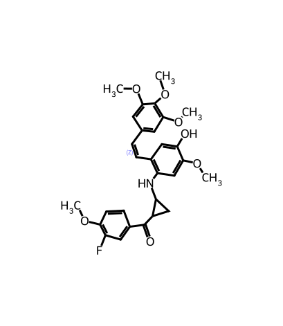 COc1cc(NC2CC2C(=O)c2ccc(OC)c(F)c2)c(/C=C\c2cc(OC)c(OC)c(OC)c2)cc1O